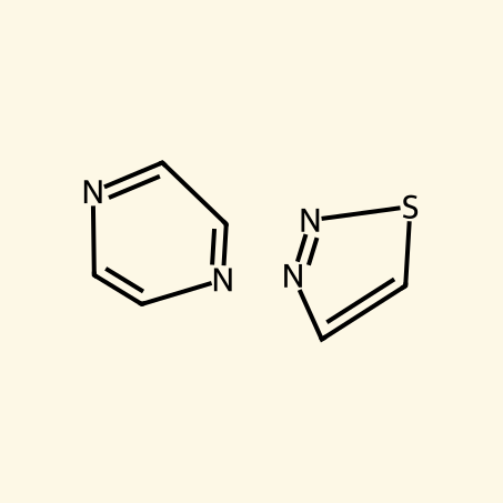 c1cnccn1.c1csnn1